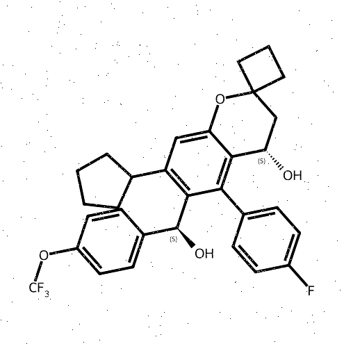 O[C@@H](c1ccc(OC(F)(F)F)cc1)c1c(C2CCCC2)cc2c(c1-c1ccc(F)cc1)[C@@H](O)CC1(CCC1)O2